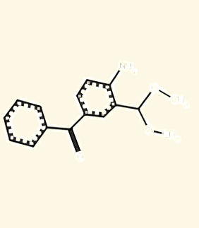 COC(OC)c1cc(C(=O)c2ccccc2)ccc1N